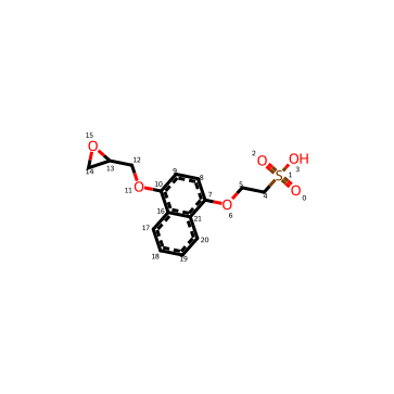 O=S(=O)(O)CCOc1ccc(OCC2CO2)c2ccccc12